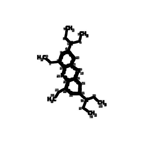 CCc1cc(N(CC)CC)cc2[s+]c3cc(N(CC)CC)cc(CC)c3nc12